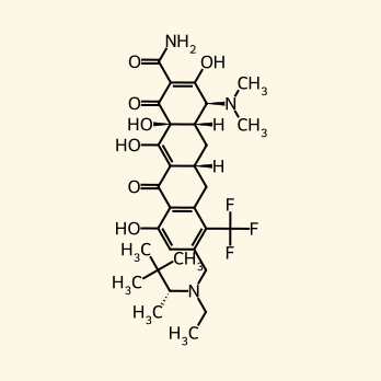 CCN(Cc1cc(O)c2c(c1C(F)(F)F)C[C@H]1C[C@H]3[C@H](N(C)C)C(O)=C(C(N)=O)C(=O)[C@@]3(O)C(O)=C1C2=O)[C@H](C)C(C)(C)C